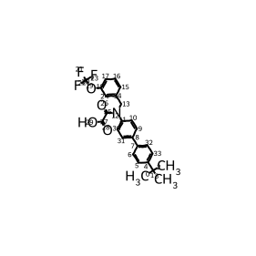 CC(C)(C)c1ccc(-c2ccc(N(Cc3cccc(OC(F)(F)F)c3)C(=O)C(=O)O)cc2)cc1